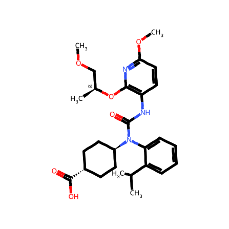 COC[C@H](C)Oc1nc(OC)ccc1NC(=O)N(c1ccccc1C(C)C)[C@H]1CC[C@H](C(=O)O)CC1